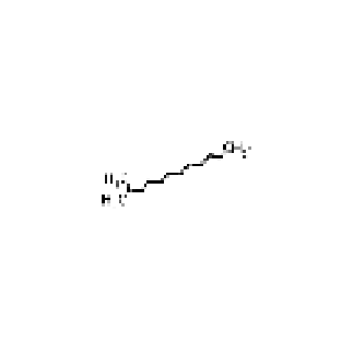 [CH2]C=CCCCCCCCC(C)C